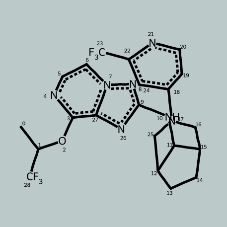 CC(Oc1nccn2nc(NC3C4CCC3CN(c3ccnc(C(F)(F)F)c3)C4)nc12)C(F)(F)F